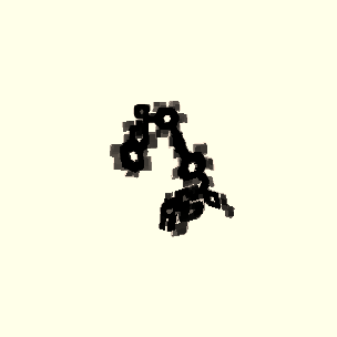 CC(=O)NC(C)Cc1ccc(C#Cc2cccc(C(=O)N3Cc4ccccc4C3)c2)cc1